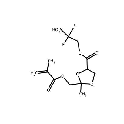 C=C(C)C(=O)OCC1(C)OCC(C(=O)OCC(F)(F)S(=O)(=O)O)O1